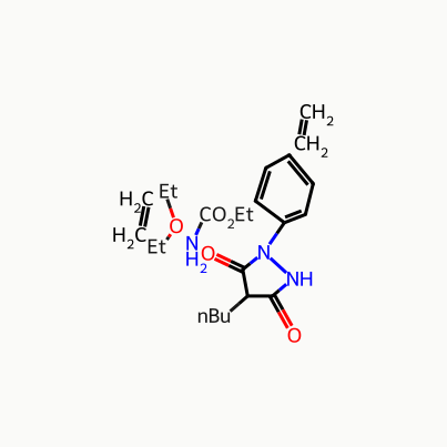 C=C.C=C.CCCCC1C(=O)NN(c2ccccc2)C1=O.CCOC(N)=O.CCOCC